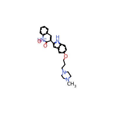 CN1CCN(CCCOc2ccc3[nH]c(C4=Cc5ccccc5[NH+]([O-])C4=O)cc3c2)CC1